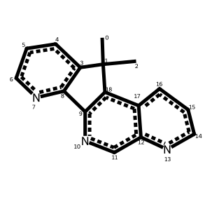 CC1(C)c2cccnc2-c2ncc3ncccc3c21